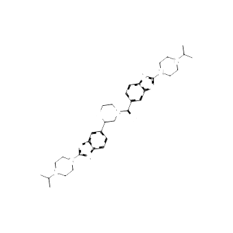 CC(C)N1CCN(c2nc3ccc(C(=O)N4CCOC(c5ccc6nc(N7CCN(C(C)C)CC7)sc6c5)C4)cc3s2)CC1